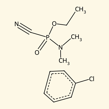 CCOP(=O)(C#N)N(C)C.Clc1ccccc1